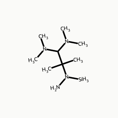 CN(C)C(N(C)C)C(C)(C)N(N)[SiH3]